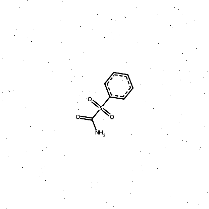 NC(=O)S(=O)(=O)c1ccccc1